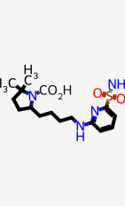 CC1(C)CCC(CCCCNc2cccc(S(N)(=O)=O)n2)N1C(=O)O